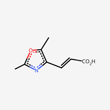 Cc1nc(/C=C/C(=O)O)c(C)o1